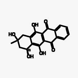 CC1(O)Cc2c(O)c3c(c(O)c2[C@@H](O)C1)C(=O)c1ccccc1C3=O